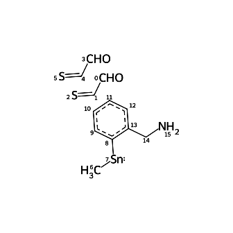 O=CC=S.O=CC=S.[CH3][Sn][c]1ccccc1CN